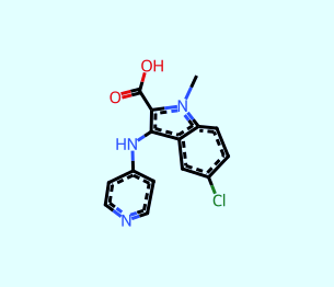 Cn1c(C(=O)O)c(Nc2ccncc2)c2cc(Cl)ccc21